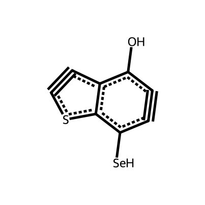 Oc1c#cc([SeH])c2sc#cc12